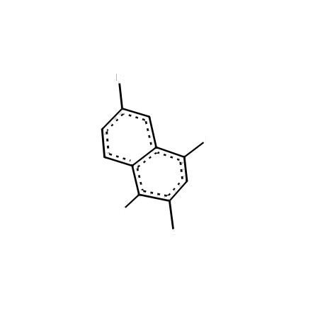 Fc1cc(F)c2cc(Br)ccc2c1F